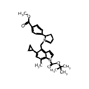 COC(=O)c1ccc(C2CCCN2Cc2c(C3CC3)cc(C)c3c2ccn3C(=O)OC(C)(C)C)cc1